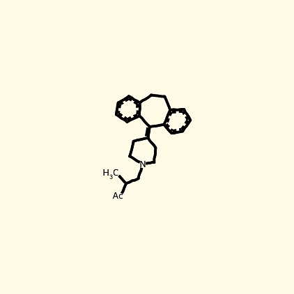 CC(=O)C(C)CN1CCC(=C2c3ccccc3CCc3ccccc32)CC1